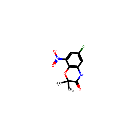 CC1(C)Oc2c(cc(Cl)cc2[N+](=O)[O-])NC1=O